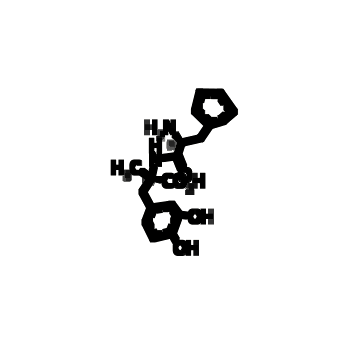 C[C@@](Cc1ccc(O)c(O)c1)(NC(=O)[C@@H](N)Cc1ccccc1)C(=O)O